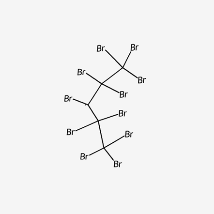 Br[C](C(Br)(Br)C(Br)(Br)Br)C(Br)(Br)C(Br)(Br)Br